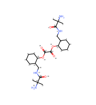 CC(C)(N)C(=O)NCC1CCCCC1OC(=O)C(=O)OC1CCCCC1CNC(=O)C(C)(C)N